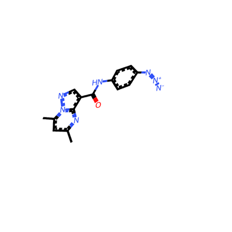 Cc1cc(C)n2ncc(C(=O)Nc3ccc(N=[N+]=[N-])cc3)c2n1